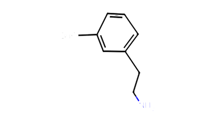 CC(C)COc1cccc(CCN)c1